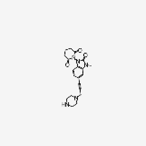 Cn1c(=O)n(N2C(=O)CCCC2=O)c2ccc(C#CCN3CCNCC3)cc21